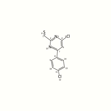 S=Cc1nc(Cl)cc(-c2ccc(Cl)cc2)n1